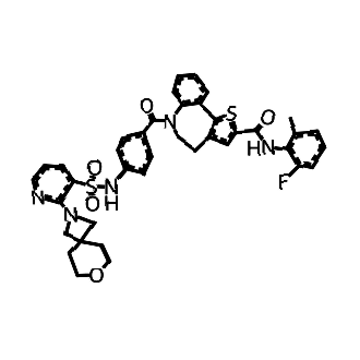 Cc1cccc(F)c1NC(=O)c1cc2c(s1)-c1ccccc1N(C(=O)c1ccc(NS(=O)(=O)c3cccnc3N3CC4(CCOCC4)C3)cc1)CC2